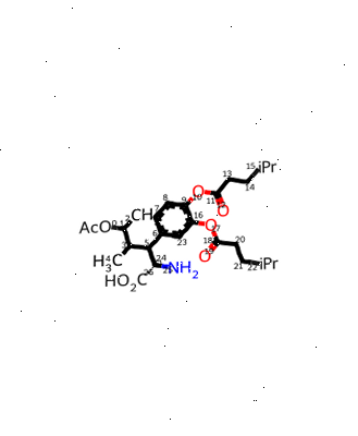 CC(=O)OC(C)C(C)C(c1ccc(OC(=O)CCC(C)C)c(OC(=O)CCC(C)C)c1)[C@H](N)C(=O)O